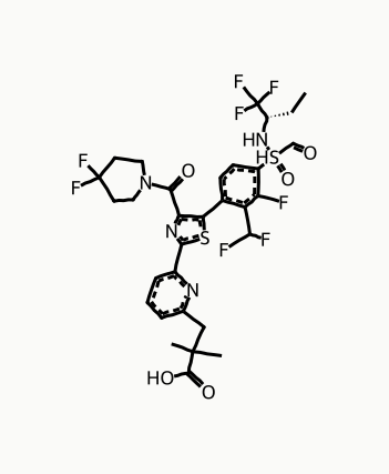 CC[C@H](N[SH](=O)(C=O)c1ccc(-c2sc(-c3cccc(CC(C)(C)C(=O)O)n3)nc2C(=O)N2CCC(F)(F)CC2)c(C(F)F)c1F)C(F)(F)F